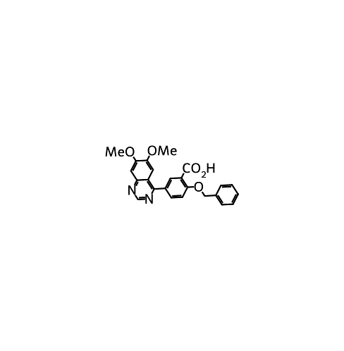 COc1cc2ncnc(-c3ccc(OCc4ccccc4)c(C(=O)O)c3)c2cc1OC